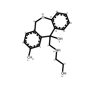 Cc1ccc2c(c1)C(O)(CNCCO)c1ccccc1OC2